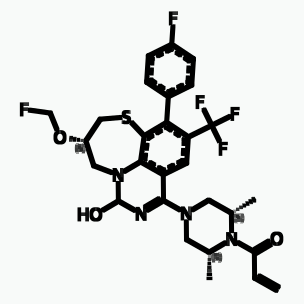 C=CC(=O)N1[C@H](C)CN(C2=NC(O)N3C[C@H](OCF)CSc4c(-c5ccc(F)cc5)c(C(F)(F)F)cc2c43)C[C@@H]1C